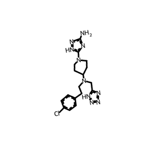 Nc1n[nH]c(N2CCC(N(CCc3ccc(Cl)cc3)Cc3nnn[nH]3)CC2)n1